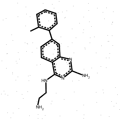 Cc1ccccc1-c1ccc2c(NCCN)nc(N)nc2c1